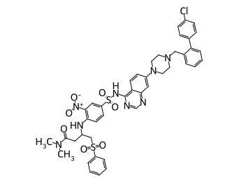 CN(C)C(=O)CC(CS(=O)(=O)c1ccccc1)Nc1ccc(S(=O)(=O)Nc2ncnc3cc(N4CCN(Cc5ccccc5-c5ccc(Cl)cc5)CC4)ccc23)cc1[N+](=O)[O-]